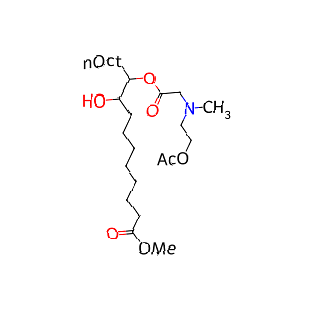 CCCCCCCCC(OC(=O)CN(C)CCOC(C)=O)C(O)CCCCCCCC(=O)OC